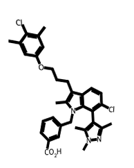 Cc1cc(OCCCc2c(C)n(Cc3cccc(C(=O)O)c3)c3c(-c4c(C)nn(C)c4C)c(Cl)ccc23)cc(C)c1Cl